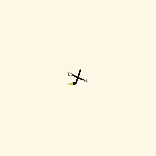 CCC(C)([C]=S)CC